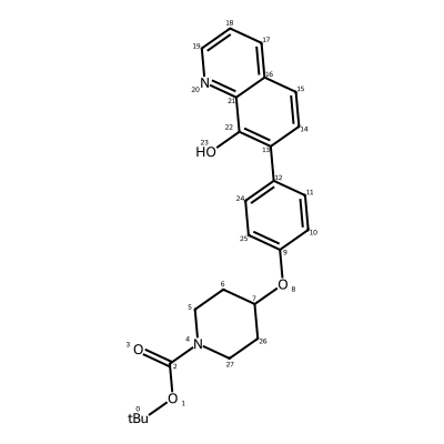 CC(C)(C)OC(=O)N1CCC(Oc2ccc(-c3ccc4cccnc4c3O)cc2)CC1